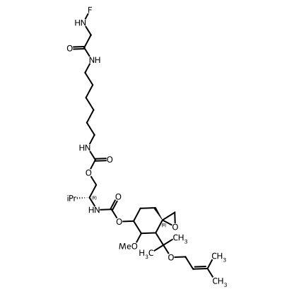 COC1C(OC(=O)N[C@@H](COC(=O)NCCCCCCNC(=O)CNF)C(C)C)CC[C@]2(CO2)C1C(C)(C)OCC=C(C)C